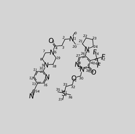 CN(CCC(=O)N1CCN(c2ccc(C#N)cn2)CC1)C[C@@H]1CCCN1c1cnn(COCC[Si](C)(C)C)c(=O)c1C(F)(F)F